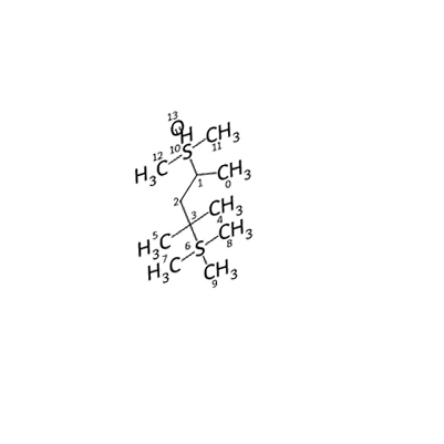 CC(CC(C)(C)S(C)(C)C)[SH](C)(C)=O